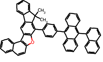 CC1(C)c2ccccc2-c2cc3c(oc4ccc5ccccc5c43)c(-c3ccc(-c4c5ccccc5c(-c5cccc6ccccc56)c5ccccc45)cc3)c21